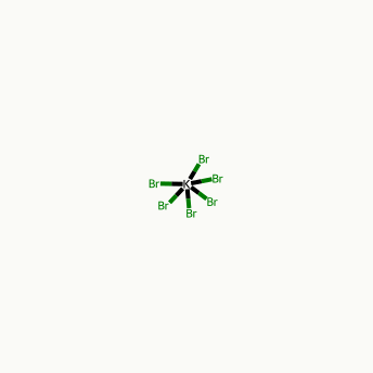 [Br][K]([Br])([Br])([Br])([Br])[Br]